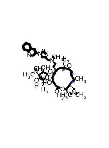 CC[C@H]1OC(=O)C[C@@H](O)[C@H](C)[C@@H](O[C@@H]2O[C@H](C)[C@@H](O)C(N(C)C)C2O)[C@@H](CCN(C)Cc2cn(-c3cnc4ccccc4c3)nn2)C[C@@H](C)C(=O)/C=C/C(C)=C/[C@@H]1CN(C)C